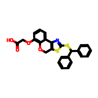 O=C(O)COc1cccc2c1OCc1sc(SC(c3ccccc3)c3ccccc3)nc1-2